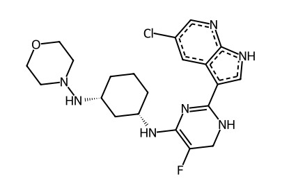 FC1=C(N[C@H]2CCC[C@@H](NN3CCOCC3)C2)N=C(c2c[nH]c3ncc(Cl)cc23)NC1